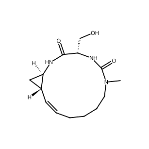 CN1CCCC/C=C\[C@@H]2C[C@H]2NC(=O)[C@H](CO)NC1=O